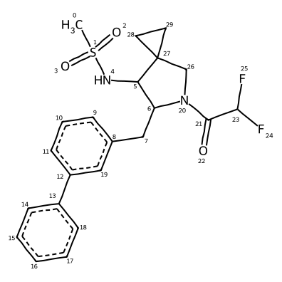 CS(=O)(=O)NC1C(Cc2cccc(-c3ccccc3)c2)N(C(=O)C(F)F)CC12CC2